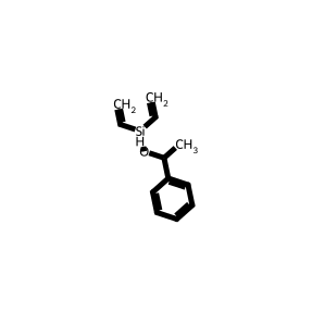 C=C[SiH](C=C)OC(C)c1ccccc1